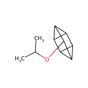 CC(C)OC1C2C3C2C2C1C32